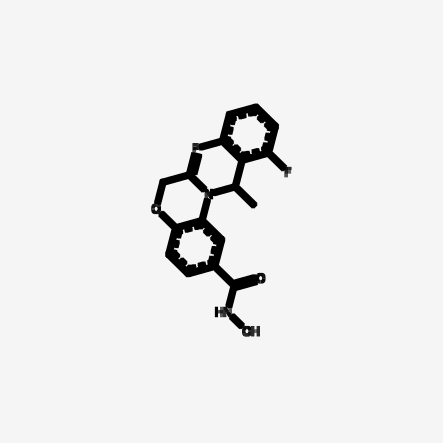 CC1c2c(F)cccc2P=C2COc3ccc(C(=O)NO)cc3N21